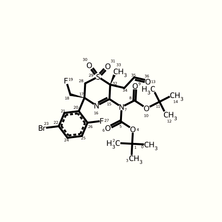 CC(C)(C)OC(=O)N(C(=O)OC(C)(C)C)C1=N[C@](CF)(c2cc(Br)ccc2F)CS(=O)(=O)[C@]1(C)CC=O